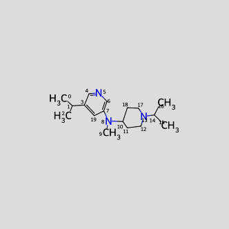 CC(C)c1cncc(N(C)C2CCN(C(C)C)CC2)c1